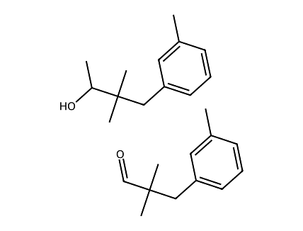 Cc1cccc(CC(C)(C)C(C)O)c1.Cc1cccc(CC(C)(C)C=O)c1